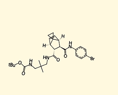 CC(C)(CNC(=O)OC(C)(C)C)CNC(=O)[C@H]1[C@H](C(=O)Nc2ccc(Br)cc2)[C@@H]2C=C[C@H]1C21CC1